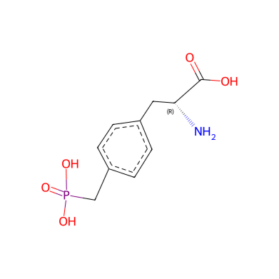 N[C@H](Cc1ccc(CP(=O)(O)O)cc1)C(=O)O